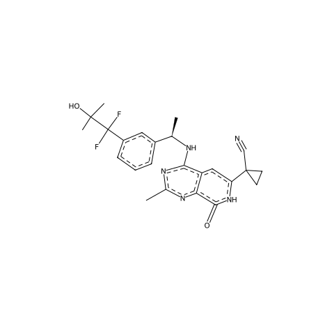 Cc1nc(N[C@H](C)c2cccc(C(F)(F)C(C)(C)O)c2)c2cc(C3(C#N)CC3)[nH]c(=O)c2n1